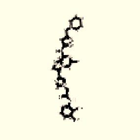 Cc1cn2c(-c3cn(CC(=O)Nc4cccc(F)c4F)cn3)cnc2c(Nc2cc(CN3CCCCC3)ns2)n1